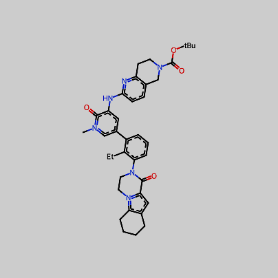 CCc1c(-c2cc(Nc3ccc4c(n3)CCN(C(=O)OC(C)(C)C)C4)c(=O)n(C)c2)cccc1N1CCn2c(cc3c2CCCC3)C1=O